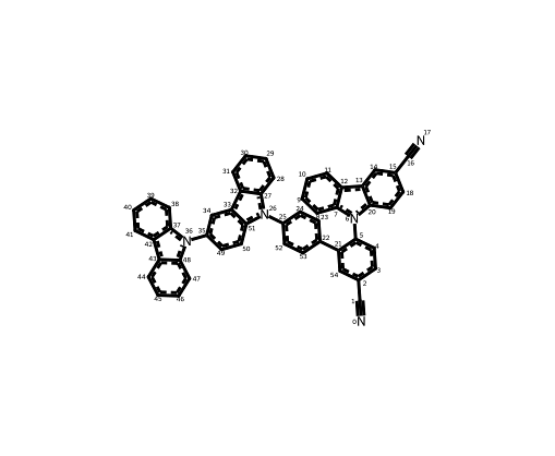 N#Cc1ccc(-n2c3ccccc3c3cc(C#N)ccc32)c(-c2ccc(-n3c4ccccc4c4cc(-n5c6ccccc6c6ccccc65)ccc43)cc2)c1